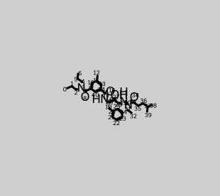 CCCN(CCC)C(=O)c1cc(C)cc(C(=O)N[C@@H](Cc2ccccc2)[C@@H](O)CNN(CC)C(=O)CCC(C)C)c1